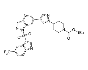 CC(C)(C)OC(=O)N1CCC(n2cc(-c3cnc4cnn(S(=O)(=O)c5cnc6ccc(C(F)(F)F)cn56)c4c3)cn2)CC1